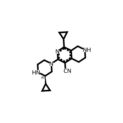 N#Cc1c(N2CCN[C@H](C3CC3)C2)nc(C2CC2)c2c1CCNC2